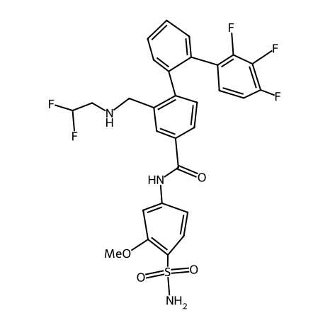 COc1cc(NC(=O)c2ccc(-c3ccccc3-c3ccc(F)c(F)c3F)c(CNCC(F)F)c2)ccc1S(N)(=O)=O